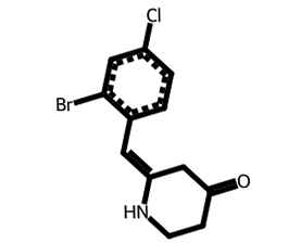 O=C1CCNC(=Cc2ccc(Cl)cc2Br)C1